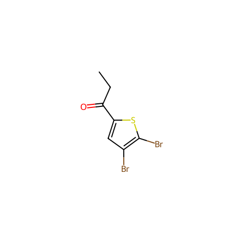 CCC(=O)c1cc(Br)c(Br)s1